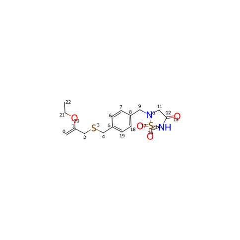 C=C(CSCc1ccc(CN2CC(=O)NS2(=O)=O)cc1)OCC